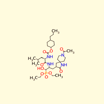 CCCC1CCC(OC(=O)N[C@H](CC(C)C)C(=O)NC(CC2CC3(CCN(C(C)=O)CC3)NC2=O)C(O)P(=O)(OCC)OCC)CC1